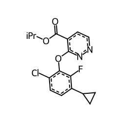 CC(C)OC(=O)c1ccnnc1Oc1c(Cl)ccc(C2CC2)c1F